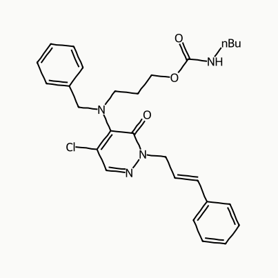 CCCCNC(=O)OCCCN(Cc1ccccc1)c1c(Cl)cnn(CC=Cc2ccccc2)c1=O